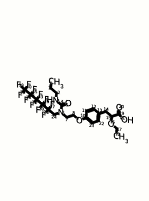 CCCNC(=O)N(CCOc1ccc(CC(OCC)C(=O)O)cc1)CC(F)(F)C(F)(F)C(F)(F)C(F)(F)C(F)(F)F